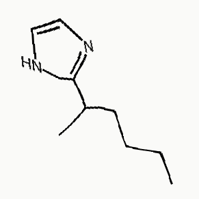 CCCCC(C)c1ncc[nH]1